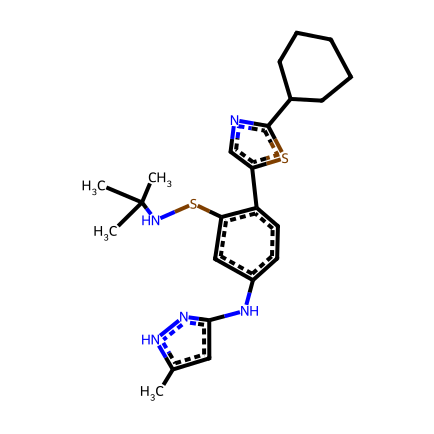 Cc1cc(Nc2ccc(-c3cnc(C4CCCCC4)s3)c(SNC(C)(C)C)c2)n[nH]1